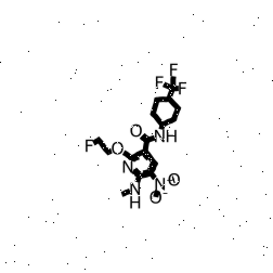 CNc1nc(OCCF)c(C(=O)NC2CCC(C(F)(F)F)CC2)cc1[N+](=O)[O-]